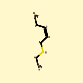 CC(C)C/C=C\CSCC(C)C